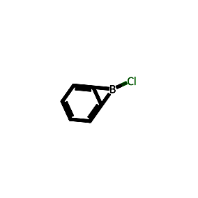 ClB1c2ccccc21